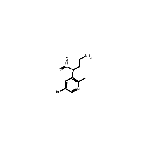 Cc1ncc(Br)cc1N(CCN)[SH](=O)=O